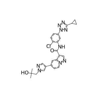 CC(C)(O)Cn1cc(-c2ccn3ncc(C(=O)Nc4cc(-n5nnc(C6CC6)n5)ccc4Cl)c3c2)cn1